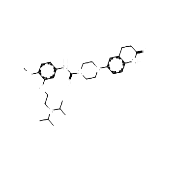 COc1ccc(NC(=O)N2CCN(c3ccc4c(c3)CCC(=O)N4)CC2)cc1OCCN(C(C)C)C(C)C